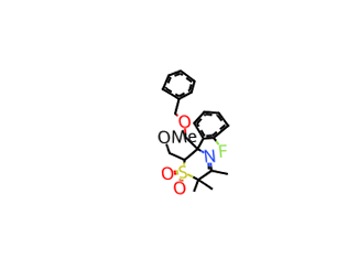 COCC1C(COCc2ccccc2)(c2ccccc2F)N=C(C)C(C)(C)S1(=O)=O